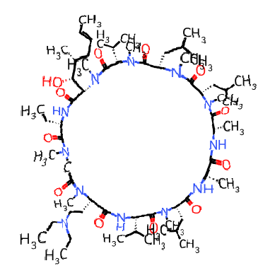 C/C=C/C[C@@H](C)[C@@H](O)[C@H]1C(=O)N[C@@H](CC)C(=O)N(C)CC(=O)N(C)[C@@H](CCN(CC)CC)C(=O)N[C@@H](C(C)C)C(=O)N(C)[C@@H](CC(C)C)C(=O)N[C@@H](C)C(=O)N[C@@H](C)C(=O)N(C)[C@@H](CC(C)C)C(=O)N(C)[C@@H](CC(C)C)C(=O)N(C)[C@@H](C(C)C)C(=O)N1C